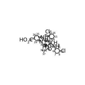 C[C@]1(C(=O)Nc2cccc(Cl)c2)[C@@H](c2cccc(Cl)c2F)[C@@H]2c3nc4ccc(C(=O)O)cc4n3C[C@@H]2N1CC1CC1